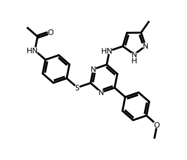 COc1ccc(-c2cc(Nc3cc(C)n[nH]3)nc(Sc3ccc(NC(C)=O)cc3)n2)cc1